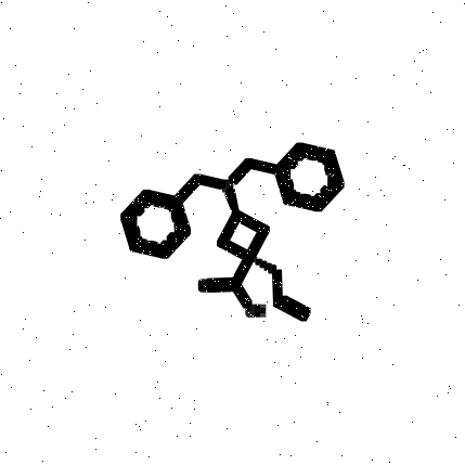 C=CC[C@]1(C(=O)O)C[C@@H](N(Cc2ccccc2)Cc2ccccc2)C1